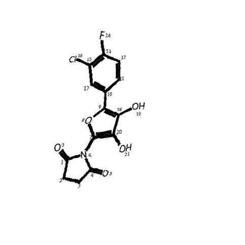 O=C1CCC(=O)N1c1oc(-c2ccc(F)c(Cl)c2)c(O)c1O